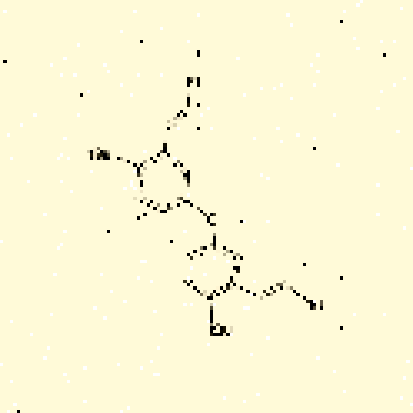 CCC=Cc1cc(Oc2ccc(C(C)(C)C)c(C=CCC)c2)ccc1C(C)(C)C